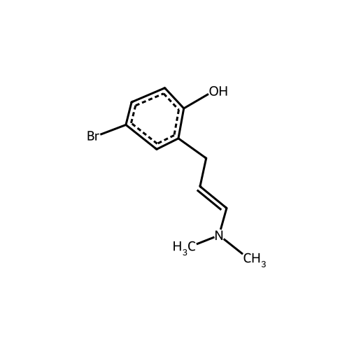 CN(C)/C=C/Cc1cc(Br)ccc1O